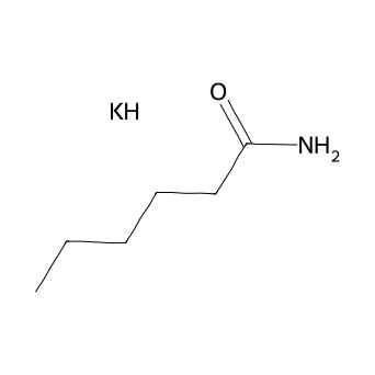 CCCCCC(N)=O.[KH]